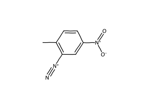 Cc1ccc([N+](=O)[O-])cc1[N+]#N